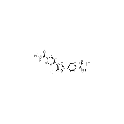 Cc1oc(-c2ccc(C(=N)NC(C)C)cc2)cc1-c1ccc(C(=N)NC(C)C)cc1